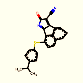 CC(C)c1ccc(Sc2ccc3cccc4c3c2C2=NC(=O)C(C#N)=C24)cc1